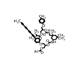 C=C(C)C(=O)OCC(COc1ccc(C)cc1)OC(=O)NCC1(C)CC(NC(=O)OC(COC(=O)C(C)=O)COc2ccc(C#CC#CC#CC#CC)cc2)CC(C)(C)C1